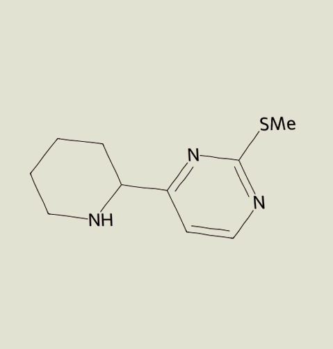 CSc1nccc(C2CCCCN2)n1